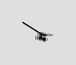 CC#CC#CC#CC#CC#CC#CC#CC#CC#CC#CC#CC#CC(=O)N[C@@H](CO[C@H]1OC(CSC2C(=O)N(CC)C(=O)C2I)[C@H](O)[C@H](O)C1O)[C@H](O)[C@H](O)CCCCCCCCCCCCCC